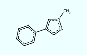 Cn1cc(-c2[c]cccc2)cn1